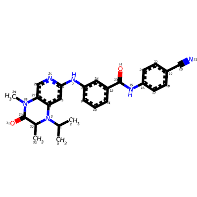 CC(C)N1c2cc(Nc3cccc(C(=O)Nc4ccc(C#N)cc4)c3)ncc2N(C)C(=O)C1C